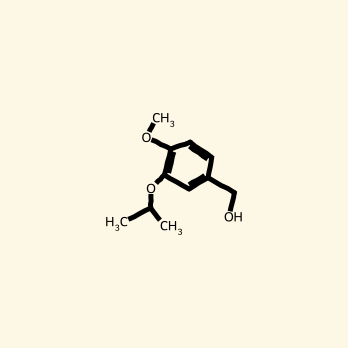 COc1ccc(CO)cc1OC(C)C